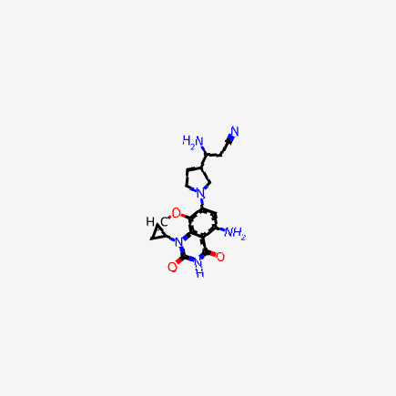 COc1c(N2CCC(C(N)CC#N)C2)cc(N)c2c(=O)[nH]c(=O)n(C3CC3)c12